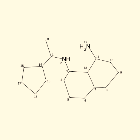 CC(NC1CCCC2CCCC(N)C21)C1CCCC1